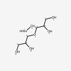 CCCCCCC.OCC(O)COCC(O)CO